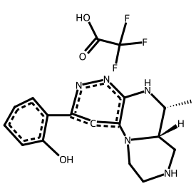 C[C@H]1Nc2nnc(-c3ccccc3O)cc2N2CCNC[C@@H]12.O=C(O)C(F)(F)F